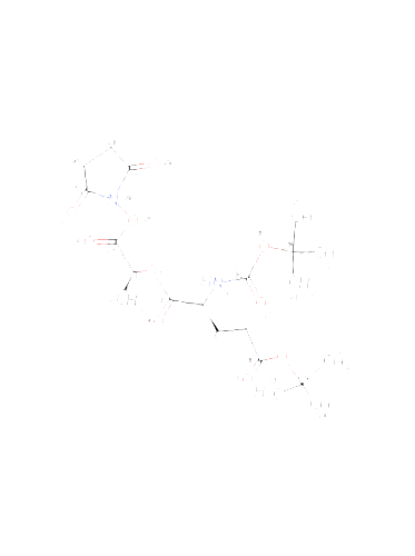 C[C@H](OC(=O)[C@H](CCC(=O)OC(C)(C)C)NC(=O)OC(C)(C)C)C(=O)ON1C(=O)CCC1=O